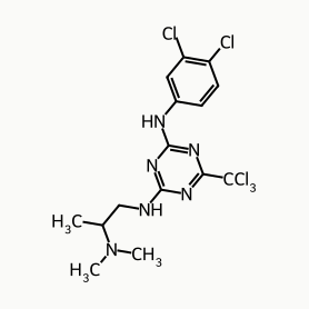 CC(CNc1nc(Nc2ccc(Cl)c(Cl)c2)nc(C(Cl)(Cl)Cl)n1)N(C)C